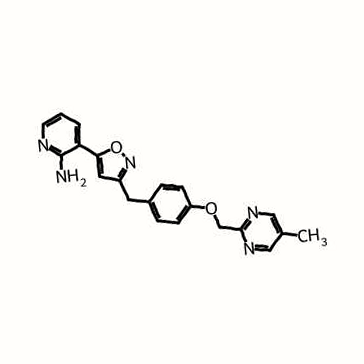 Cc1cnc(COc2ccc(Cc3cc(-c4cccnc4N)on3)cc2)nc1